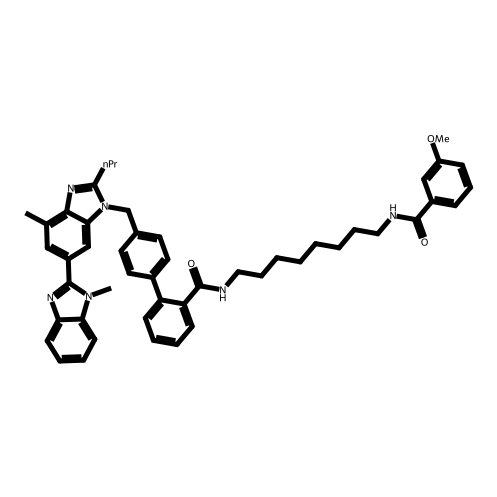 CCCc1nc2c(C)cc(-c3nc4ccccc4n3C)cc2n1Cc1ccc(-c2ccccc2C(=O)NCCCCCCCCNC(=O)c2cccc(OC)c2)cc1